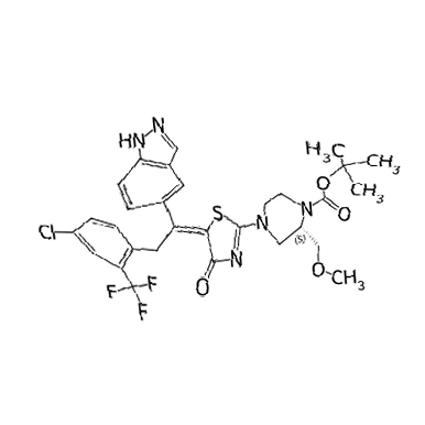 COC[C@@H]1CN(C2=NC(=O)C(=C(Cc3ccc(Cl)cc3C(F)(F)F)c3ccc4[nH]ncc4c3)S2)CCN1C(=O)OC(C)(C)C